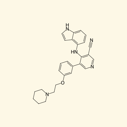 N#Cc1cncc(-c2cccc(OCCN3CCCCC3)c2)c1Nc1cccc2[nH]ccc12